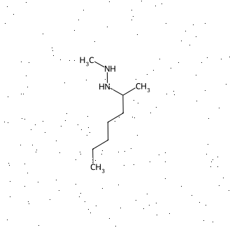 CCCCCC(C)NNC